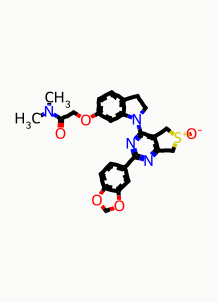 CN(C)C(=O)COc1ccc2c(c1)N(c1nc(-c3ccc4c(c3)OCO4)nc3c1C[S+]([O-])C3)CC2